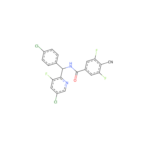 N#Cc1c(F)cc(C(=O)NC(c2ccc(Cl)cc2)c2ncc(Cl)cc2F)cc1F